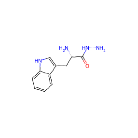 NNC(=O)[C@@H](N)Cc1c[nH]c2ccccc12